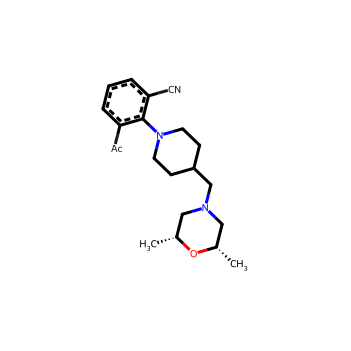 CC(=O)c1cccc(C#N)c1N1CCC(CN2C[C@@H](C)O[C@@H](C)C2)CC1